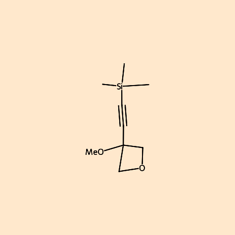 COC1(C#C[Si](C)(C)C)COC1